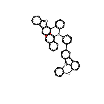 c1cc(-c2ccc3c(c2)c2cccc4c2n3-c2ccccc2O4)cc(N(c2ccccc2-c2cccc3c2oc2ccccc23)c2cccc3ccccc23)c1